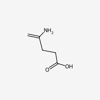 C=C(N)CCC(=O)O